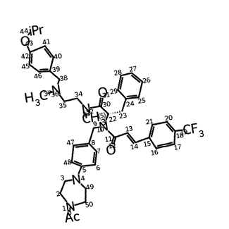 CC(=O)N1CCN(c2ccc(CN(C(=O)C=Cc3ccc(C(F)(F)F)cc3)[C@@H](Cc3ccccc3)C(=O)N(C)CCN(C)Cc3ccc(OC(C)C)cc3)cc2)CC1